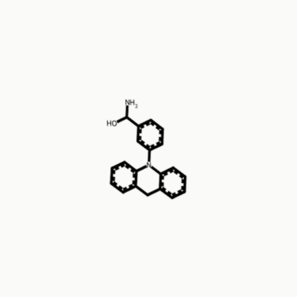 NC(O)c1cccc(N2c3ccccc3Cc3ccccc32)c1